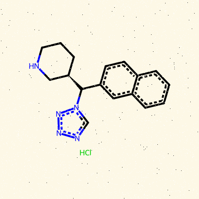 Cl.c1ccc2cc(C([C@@H]3CCCNC3)n3cnnn3)ccc2c1